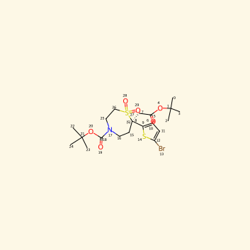 CC(C)(C)OC(=O)C[C@]1(c2ccc(Br)s2)CCN(C(=O)OC(C)(C)C)CCS1(=O)=O